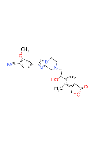 COc1cc(-c2cn3c(n2)CN(CC(O)c2ccc4c(c2C)COC4=O)CC3)ccc1C#N